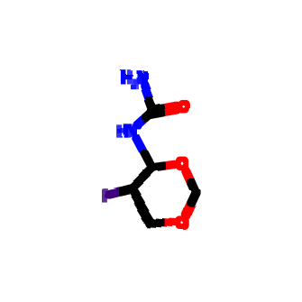 NC(=O)NC1OCOCC1I